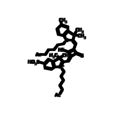 CC(=O)CCCCCN1C(=CC2=C(S)C(=CC3=[N+](CCCCCC(C)=O)c4ccc(S(=O)(=O)O)cc4C3(C)C)C2=S)C(C)(C)c2cc(C)ccc21